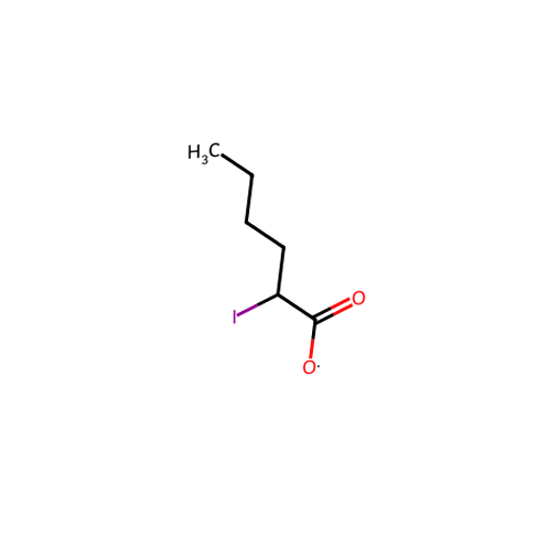 CCCCC(I)C([O])=O